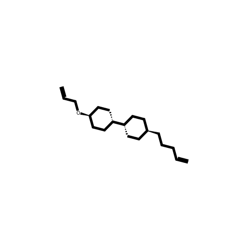 C=CCCC[C@H]1CC[C@H]([C@H]2CC[C@H](OCC=C)CC2)CC1